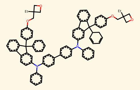 CCC1(COc2ccc(C3(c4ccccc4)c4ccccc4-c4ccc(N(c5ccccc5)c5ccc(-c6ccc(N(c7ccccc7)c7ccc8c(c7)C(c7ccc(OCC9(CC)COC9)cc7)(C7C=CC=CC7)c7ccccc7-8)cc6)cc5)cc43)cc2)COC1